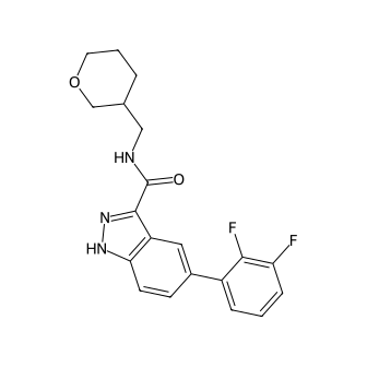 O=C(NCC1CCCOC1)c1n[nH]c2ccc(-c3cccc(F)c3F)cc12